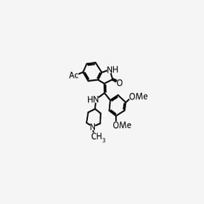 COc1cc(OC)cc(C(NC2CCN(C)CC2)=C2C(=O)Nc3ccc(C(C)=O)cc32)c1